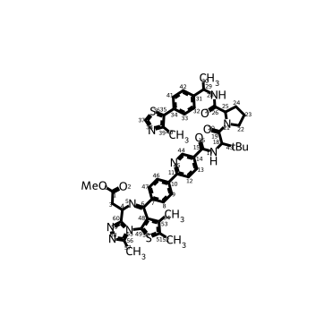 COC(=O)CC1N=C(c2ccc(-c3ccc(C(=O)NC(C(=O)N4CCCC4C(=O)NC(C)c4ccc(-c5scnc5C)cc4)C(C)(C)C)cn3)cc2)c2c(sc(C)c2C)-n2c(C)nnc21